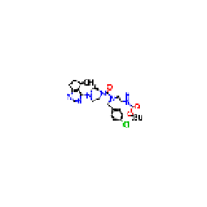 CC1CCc2ncnc(N3CCN(C(=O)N(CCNC(=O)OC(C)(C)C)Cc4ccc(Cl)cc4)CC3)c21